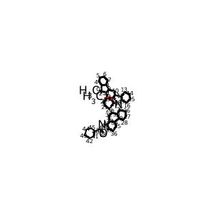 CC1(C)c2ccccc2-c2cc(-c3ccccc3N(c3ccccc3)c3cccc4c3ccc3c4ccc4oc(C5=CC=CCC5)nc43)ccc21